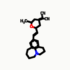 CC1CC(=C(C#N)C#N)CC(/C=C/c2cc3c4c(c2)CCCN4CCCC3)O1